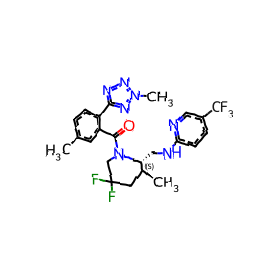 Cc1ccc(-c2nnn(C)n2)c(C(=O)N2CC(F)(F)CC(C)[C@H]2CNc2ccc(C(F)(F)F)cn2)c1